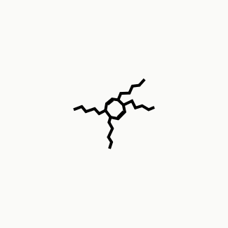 CCCCCC1C=CC(CCCCC)C(CCCCC)C=CC1CCCCC